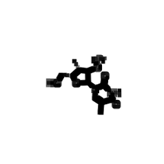 CCCOC1[C@@H](C)[C@@H](CO)O[C@@H]1n1cc(C)c(=O)[nH]c1=O